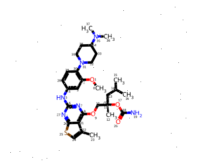 COc1cc(Nc2nc(OC[C@](C)(CC(C)C)OC(N)=O)c3c(C)csc3n2)ccc1N1CCC(N(C)C)CC1